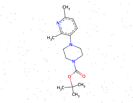 Cc1ccc(N2CCN(C(=O)OC(C)(C)C)CC2)c(C)n1